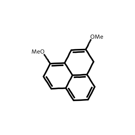 COC1=Cc2c(OC)ccc3cccc(c23)C1